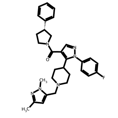 Cc1cc(CN2CCC(c3c(C(=O)N4CC[C@H](c5ccccc5)C4)cnn3-c3ccc(F)cc3)CC2)n(C)n1